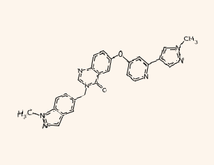 Cn1cc(-c2cc(Oc3ccc4ncn(Cc5ccc6c(cnn6C)c5)c(=O)c4c3)ccn2)cn1